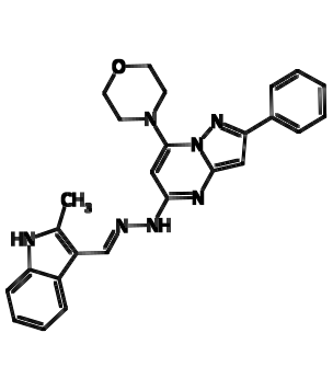 Cc1[nH]c2ccccc2c1C=NNc1cc(N2CCOCC2)n2nc(-c3ccccc3)cc2n1